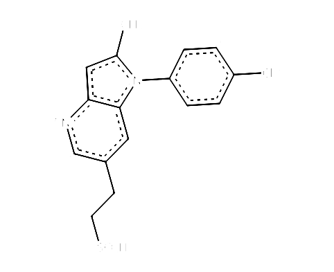 Cc1cc2ncc(CCS(=O)(=O)O)cc2n1-c1ccc(Cl)cc1